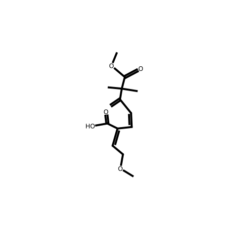 C=C(/C=C\C(=C/COC)C(=O)O)C(C)(C)C(=O)OC